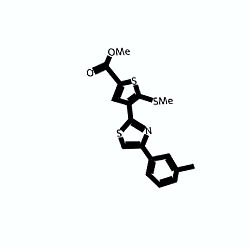 COC(=O)c1cc(-c2nc(-c3cccc(C)c3)cs2)c(SC)s1